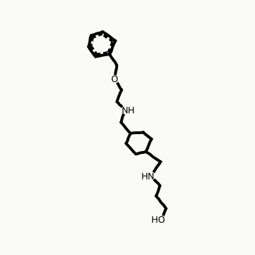 OCCCNCC1CCC(CNCCOCc2ccccc2)CC1